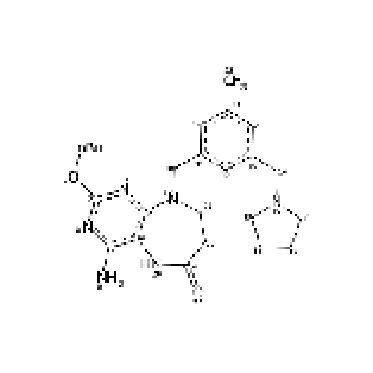 CCCCOc1nc(N)c2c(n1)N(Cc1cc(CN3CCCC3)cc(C(F)(F)F)c1)CCC(=O)N2